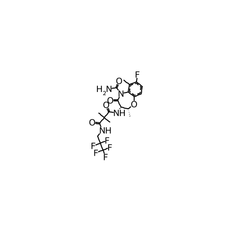 Cc1c(F)ccc2c1N(C(N)=O)C(=O)[C@@H](NC(=O)C(C)(C)C(=O)NCC(F)(F)C(F)(F)F)[C@@H](C)O2